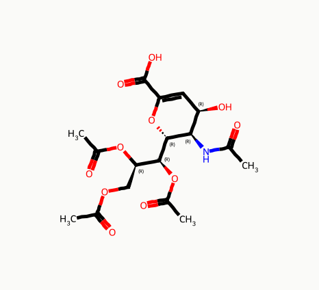 CC(=O)N[C@H]1[C@H]([C@@H](OC(C)=O)[C@@H](COC(C)=O)OC(C)=O)OC(C(=O)O)=C[C@H]1O